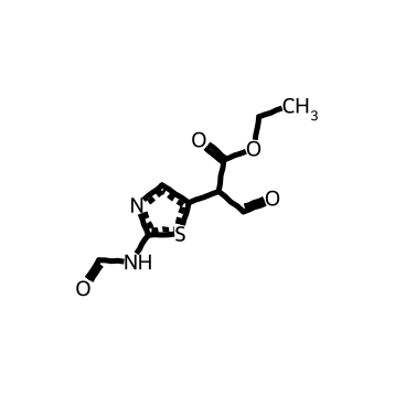 CCOC(=O)C(C=O)c1cnc(NC=O)s1